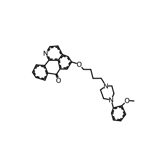 COc1ccccc1N1CCN(CCCCOc2cc3c4c(nccc4c2)-c2ccccc2C3=O)CC1